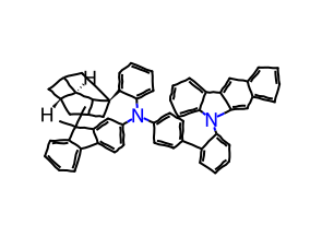 CC1(C)c2ccccc2-c2ccc(N(c3ccc(-c4ccccc4-n4c5ccccc5c5cc6ccccc6cc54)cc3)c3ccccc3[C@]34CC5C[C@@H]6CC(C3)[C@H]6C54)cc21